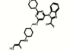 C/C(=C\O)CN[C@H]1CC[C@H](COc2cc(-n3c(C(F)F)nc4ccccc43)nc(N3CCOCC3)n2)CC1